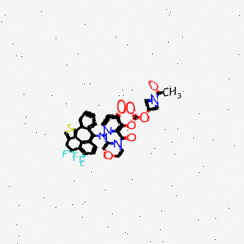 CC(=O)N1CC(OC(=O)Oc2c3n(ccc2=O)N(C2c4ccccc4-c4scc5c4-c4c2ccc(F)c4C(F)(F)C5)C2COCCN2C3=O)C1